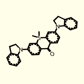 CS1(C)c2cc(N3CCc4ccccc43)ccc2C(=O)c2ccc(N3CCc4ccccc43)cc21